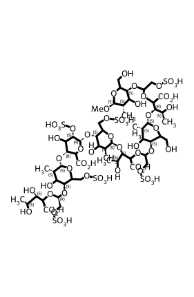 CO[C@H]1OC(CO)[C@@H](OC(COS(=O)(=O)O)OC(C(=O)O)[C@H](O[C@@H]2OC(CO)[C@@H](OC(COS(=O)(=O)O)OC(C(=O)O)[C@H](O[C@@H]3OC(COS(=O)(=O)O)[C@@H](O[C@@H]4OC(C(=O)O)[C@H](O[C@@H]5OC(COS(=O)(=O)O)[C@@H](O[C@@H](COS(=O)(=O)O)OC(C(=O)O)[C@@H](O)[C@H](C)O)C(O)[C@@H]5C)C(O)[C@@H]4OS(=O)(=O)O)C(O)[C@@H]3C)[C@H](C)O)C(O)[C@@H]2C)[C@H](C)O)C(O)[C@@H]1C